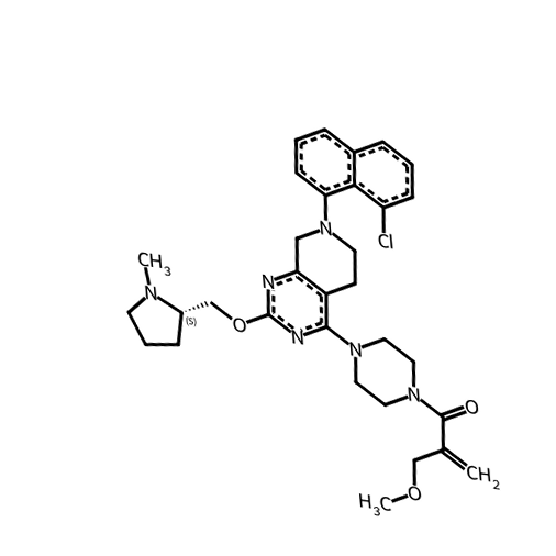 C=C(COC)C(=O)N1CCN(c2nc(OC[C@@H]3CCCN3C)nc3c2CCN(c2cccc4cccc(Cl)c24)C3)CC1